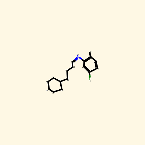 Cc1ccc(F)cc1/N=C\CCCC1CCCCC1